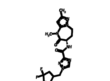 Cc1cc2n(n1)CC[C@H](NC(=O)c1ncn(CC3CCC(F)(F)C3)n1)C(=O)N2C